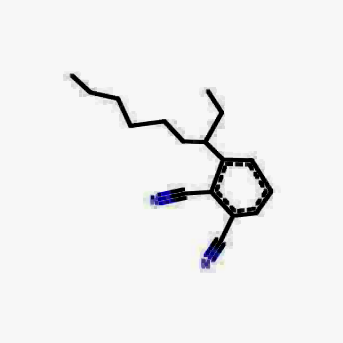 CCCCCCC(CC)c1cccc(C#N)c1C#N